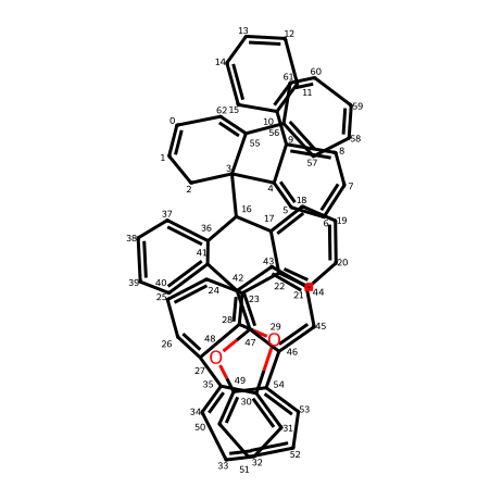 C1=CCC(c2ccccc2-c2ccccc2)(C(c2ccccc2-c2cccc3c2oc2ccccc23)c2ccccc2-c2cccc3c2oc2ccccc23)C(c2ccccc2)=C1